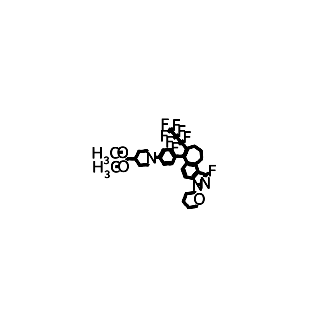 COC(OC)C1CCN(c2ccc(C3=C(C(F)(F)C(F)(F)C(F)(F)F)CCCc4c3ccc3c4c(F)nn3C3CCCCO3)cc2)CC1